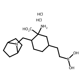 Cl.Cl.NC1(C(=O)O)CC(CCB(O)O)CCC1CN1C2CCC1CC2